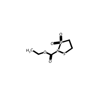 CCOC(=O)N1SCCS1(=O)=O